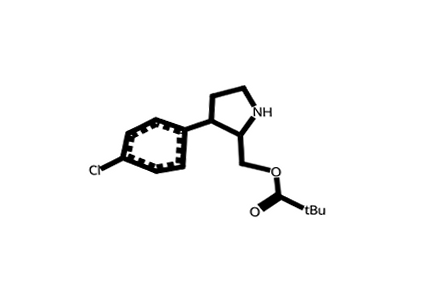 CC(C)(C)C(=O)OCC1NCCC1c1ccc(Cl)cc1